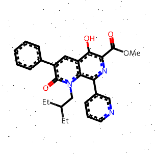 CCC(CC)Cn1c(=O)c(-c2ccccc2)cc2c(O)c(C(=O)OC)nc(-c3cccnc3)c21